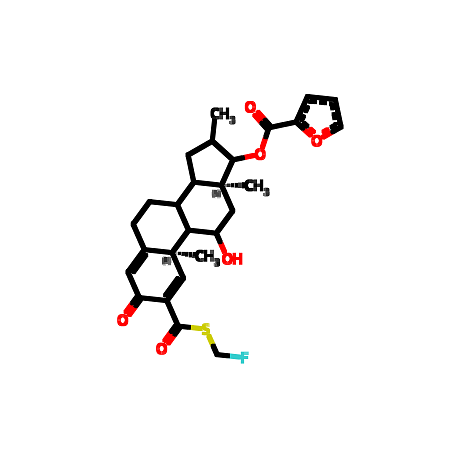 CC1CC2C3CCC4=CC(=O)C(C(=O)SCF)=C[C@]4(C)C3C(O)C[C@]2(C)C1OC(=O)c1ccco1